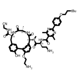 Cc1nc(-c2ccc(OCCC(C)(C)C)cc2)nc(C)c1C(=O)N[C@@H](CCN)C(=O)N(C)[C@@H]1C(=O)N[C@@H](C)C(=O)N[C@H](C(=O)NCC#N)Cc2ccc(O)c(c2)-c2cc1ccc2OCCN